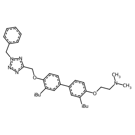 CCC(C)c1cc(-c2ccc(OCc3nnn(Cc4ccccc4)n3)c(C(C)CC)c2)ccc1OCCN(C)C